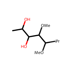 COC(C(C)C)C(OC)C(O)C(C)O